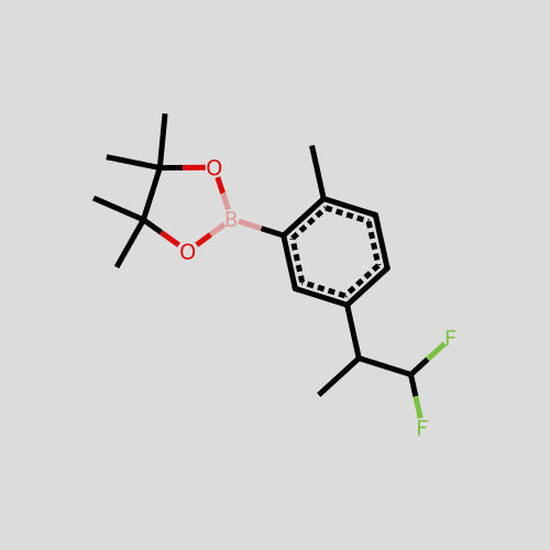 Cc1ccc(C(C)C(F)F)cc1B1OC(C)(C)C(C)(C)O1